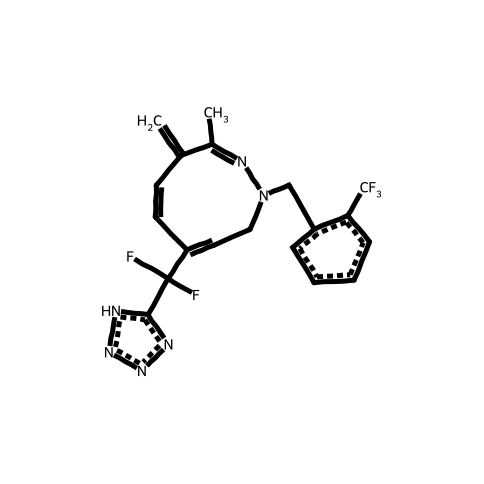 C=C1/C=C\C(C(F)(F)c2nnn[nH]2)=C/CN(Cc2ccccc2C(F)(F)F)/N=C\1C